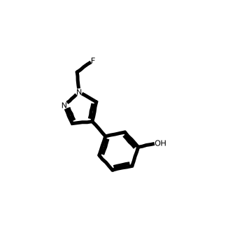 Oc1cccc(-c2cnn(CF)c2)c1